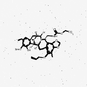 C=CCOc1c(C)c2c(c3c1C[C@H]1[C@H]4c5c(cc(C)c(OC)c5O)C[C@H](C(C#N)N1[C@H]3CNC(=O)OCC(Cl)(Cl)Cl)N4C)OCO2